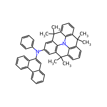 CC1(C)c2cccc3c2N2c4c1cccc4C(C)(C)c1cc(N(c4ccccc4)c4cc5ccccc5c5ccccc45)cc(c12)C3(C)C